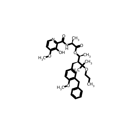 CCCOC(C)(C)[C@@H](Cc1ccc(OC)c(Cc2ccccc2)c1)[C@H](C)OC(=O)[C@H](C)NC(=O)c1nccc(OC)c1O